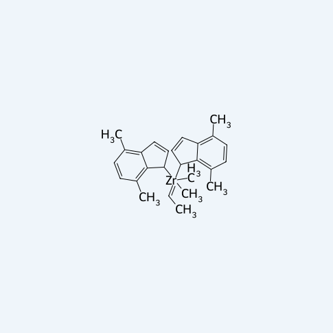 C[CH]=[Zr]([CH3])([CH3])([CH]1C=Cc2c(C)ccc(C)c21)[CH]1C=Cc2c(C)ccc(C)c21